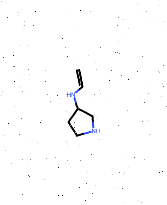 C=CNC1CCNC1